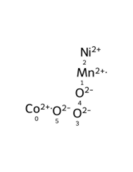 [Co+2].[Mn+2].[Ni+2].[O-2].[O-2].[O-2]